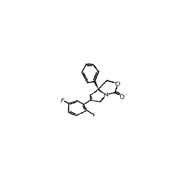 O=C1OC[C@@]2(c3ccccc3)C=C(c3cc(F)ccc3F)CN12